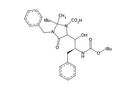 CC(C)(C)OC(=O)N[C@@H](Cc1ccccc1)C(O)C1C(=O)N(Cc2ccccc2)C(C)(C(C)(C)C)N1C(=O)O